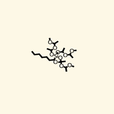 CCCCCCC(=O)[Si](OC(C)OC(C)OC)(OC(C)OC(C)OC)OC(C)(C)OC(C)OC